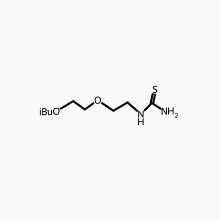 CC(C)COCCOCCNC(N)=S